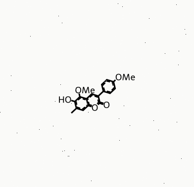 COc1ccc(-c2cc3c(OC)c(O)c(C)cc3oc2=O)cc1